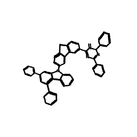 C1=CCCC(c2cc(-c3ccccc3)cc3c2c2ccccc2n3-c2ccc3c(c2)-c2cc(C4=NC(c5ccccc5)=NC(c5ccccc5)N4)ccc2C3)=C1